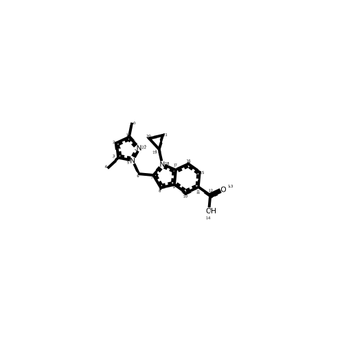 Cc1cc(C)n(Cc2cc3cc(C(=O)O)ccc3n2C2CC2)n1